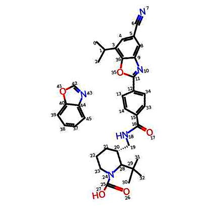 CC(C)c1cc(C#N)cc2nc(-c3ccc(C(=O)NC[C@H]4CCCN(C(=O)O)C4C(C)(C)C)cc3)oc12.c1ccc2ocnc2c1